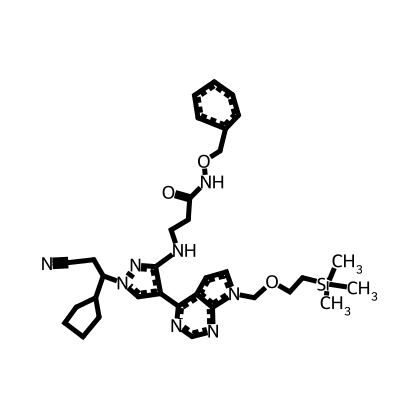 C[Si](C)(C)CCOCn1ccc2c(-c3cn(C(CC#N)C4CCCC4)nc3NCCC(=O)NOCc3ccccc3)ncnc21